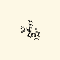 c1ccc(-c2cc(-c3ccccc3)nc(-n3c4ccccc4c4c5c(ccc6ccccc65)ccc43)n2)cc1